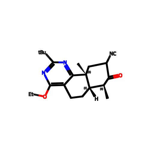 [C-]#[N+]C1C[C@]2(C)c3nc(C(C)(C)C)nc(OCC)c3CC[C@H]2[C@H](C)C1=O